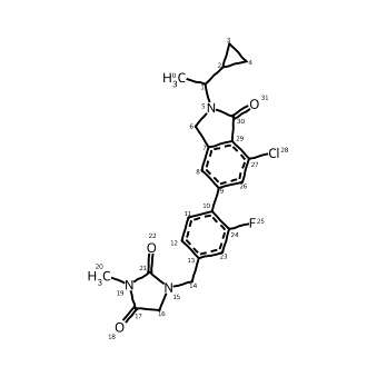 CC(C1CC1)N1Cc2cc(-c3ccc(CN4CC(=O)N(C)C4=O)cc3F)cc(Cl)c2C1=O